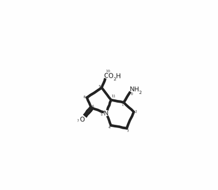 NC1CCCN2C(=O)CC(C(=O)O)C12